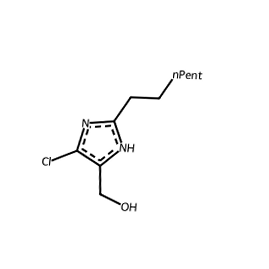 CCCCCCCc1nc(Cl)c(CO)[nH]1